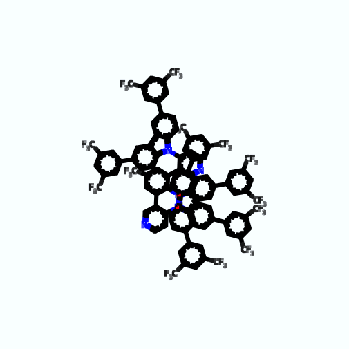 FC(F)(F)c1cc(-c2ccc3c(c2)c2cc(-c4cc(C(F)(F)F)cc(C(F)(F)F)c4)ccc2n3-c2ccncc2-c2cc(C(F)(F)F)cc(-c3cnccc3-n3c4ccc(-c5cc(C(F)(F)F)cc(C(F)(F)F)c5)cc4c4cc(-c5cc(C(F)(F)F)cc(C(F)(F)F)c5)ccc43)c2-n2c3ccc(-c4cc(C(F)(F)F)cc(C(F)(F)F)c4)cc3c3cc(-c4cc(C(F)(F)F)cc(C(F)(F)F)c4)ccc32)cc(C(F)(F)F)c1